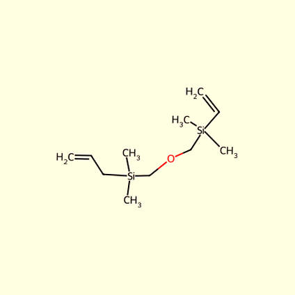 C=CC[Si](C)(C)COC[Si](C)(C)C=C